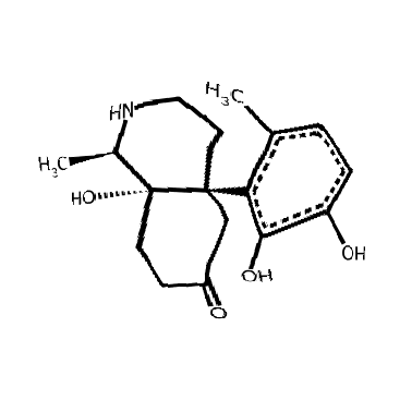 Cc1ccc(O)c(O)c1[C@]12CCN[C@H](C)[C@]1(O)CCC(=O)C2